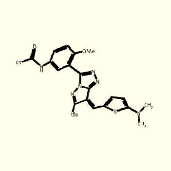 CCC(=O)Nc1ccc(OC)c(-c2nnc3/c(=C\c4ccc(N(C)C)s4)c(C(C)(C)C)nn23)c1